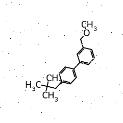 COCc1cccc(-c2ccc(CC(C)(C)C)cc2)c1